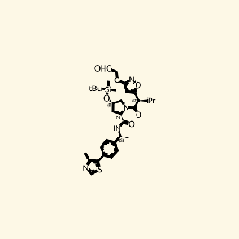 Cc1ncsc1-c1ccc([C@H](C)NC(=O)[C@@H]2C[C@@H](O[Si](C)(C)C(C)(C)C)CN2C(=O)[C@@H](c2cc(OCC=O)no2)C(C)C)cc1